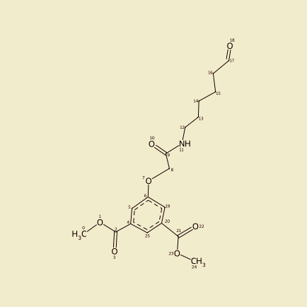 COC(=O)c1cc(OCC(=O)NCCCCCC=O)cc(C(=O)OC)c1